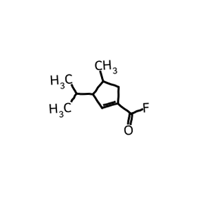 CC(C)C1C=C(C(=O)F)CC1C